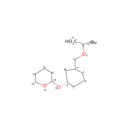 CC(C)(C)C(OCC1CCC[C@H](OC2CCCCO2)C1)C(=O)O